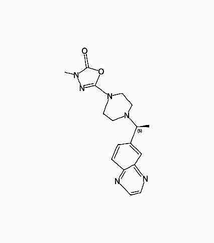 C[C@@H](c1ccc2nccnc2c1)N1CCN(c2nn(C)c(=O)o2)CC1